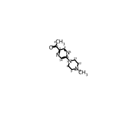 CC(=O)c1cnc(N2CCN(C)CC2)cn1